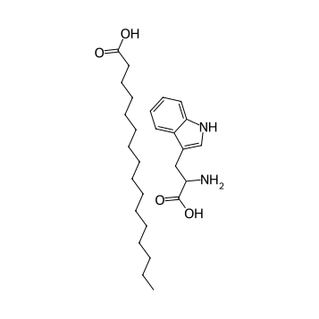 CCCCCCCCCCCCCCCC(=O)O.NC(Cc1c[nH]c2ccccc12)C(=O)O